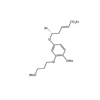 CCOC(=O)/C=C/C[C@H](Oc1ccc(OC)c(OCCCOC)c1)C(C)C